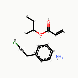 C=CC(=O)OC(C)[CH]C.N.[Cl][Mg][CH2]c1ccccc1